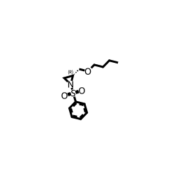 CCCCOC[C@H]1CN1S(=O)(=O)c1ccccc1